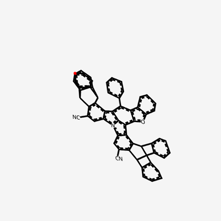 N#Cc1cc2c(c3c1C1c4ccccc4C3c3ccccc31)c1c(-c3ccccc3)c3c4ccccc4oc3c3c4c5c(c(C#N)cc4n2c13)C1c2ccccc2C12c1ccccc1C52